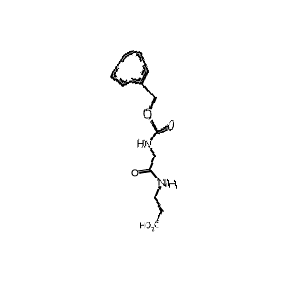 O=C(O)CCNC(=O)CNC(=O)OCc1ccccc1